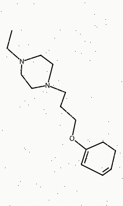 CCN1CCN(CCCOC2=CC=CC[CH]2)CC1